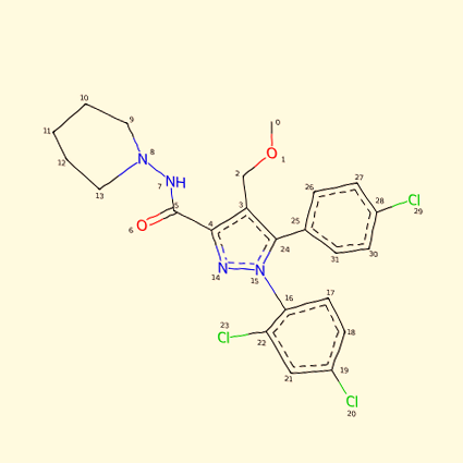 COCc1c(C(=O)NN2CCCCC2)nn(-c2ccc(Cl)cc2Cl)c1-c1ccc(Cl)cc1